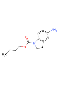 CCCCOC(=O)N1CCc2cc(N)ccc21